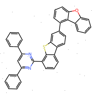 c1ccc(-c2cc(-c3ccccc3)nc(-c3cccc4c3sc3cc(-c5cccc6oc7ccccc7c56)ccc34)n2)cc1